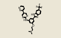 CN(C)CCOc1cc(Nc2ncc(-c3cccnn3)cn2)cc(-c2nc3ccc(C(F)(F)F)cc3[nH]2)c1